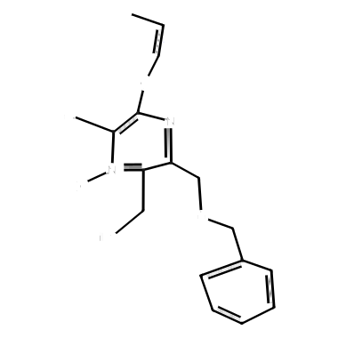 C/C=C\Oc1nc(COCc2ccccc2)c(CC(C)C)[n+]([O-])c1Cl